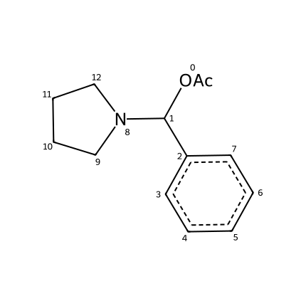 CC(=O)OC(c1ccccc1)N1CCCC1